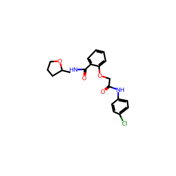 O=C(COc1ccccc1C(=O)NCC1CCCO1)Nc1ccc(Cl)cc1